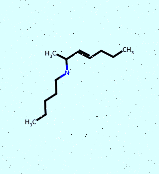 CCC/C=C/C(C)[N]CCCCC